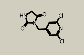 O=C1CNC(=O)N1Cc1cc(Cl)nc(Cl)c1